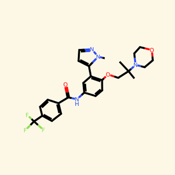 Cn1nccc1-c1cc(NC(=O)c2ccc(C(F)(F)F)cc2)ccc1OCC(C)(C)N1CCOCC1